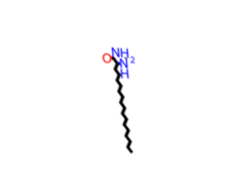 CCCCCCCCCCCCCCCCC(NC)C(N)=O